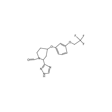 O=CN1CCC(Oc2cccc(OCC(F)(F)F)c2)CC1c1nc[nH]n1